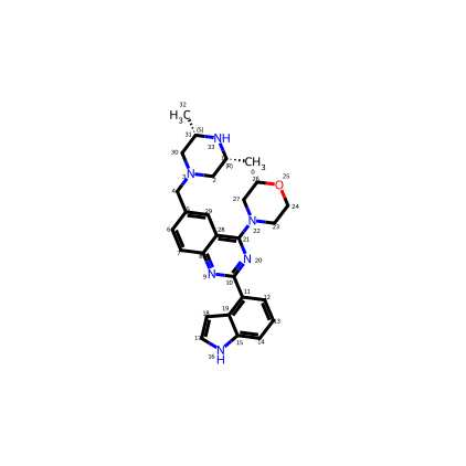 C[C@@H]1CN(Cc2ccc3nc(-c4cccc5[nH]ccc45)nc(N4CCOCC4)c3c2)C[C@H](C)N1